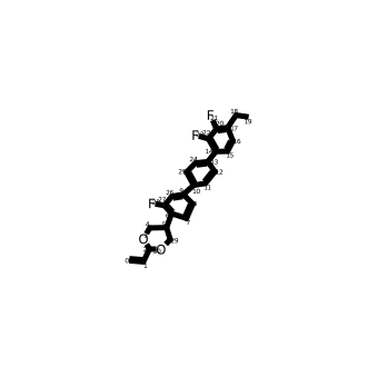 C=CC1OCC(c2ccc(-c3ccc(-c4ccc(CC)c(F)c4F)cc3)cc2F)CO1